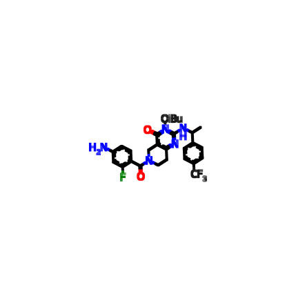 CC(C)COn1c(NC(C)c2ccc(C(F)(F)F)cc2)nc2c(c1=O)CN(C(=O)c1ccc(N)cc1F)CC2